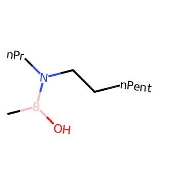 CCCCCCCN(CCC)B(C)O